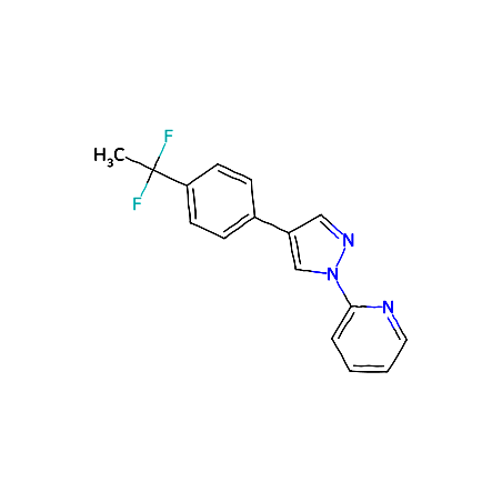 CC(F)(F)c1ccc(-c2cnn(-c3ccccn3)c2)cc1